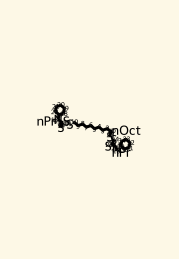 CCCCCCCCC(CCCCCCCCCSSC(=S)N(CCC)C1CCCCC1)SSC(=S)N(CCC)C1CCCCC1